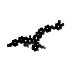 COC(=O)C(Cc1ccc(-c2ccc(C#N)cc2)cc1)NC(=O)[C@@H]1Cc2cc3c(cc2CN1S(=O)(=O)c1ccccc1OC)O[C@@H](c1ccc(OCc2ccc(Cl)c(Cl)c2)cc1)CO3